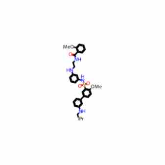 COc1ccccc1C(=O)NCCNc1cccc(NS(=O)(=O)c2cc(-c3cccc(NCC(C)C)c3)ccc2OC)c1